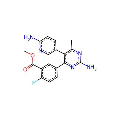 COC(=O)c1cc(-c2nc(N)nc(C)c2-c2ccc(N)nc2)ccc1F